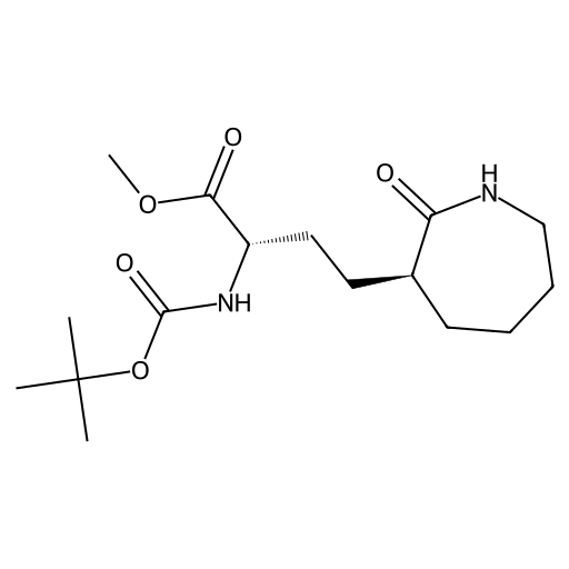 COC(=O)[C@H](CC[C@@H]1CCCCNC1=O)NC(=O)OC(C)(C)C